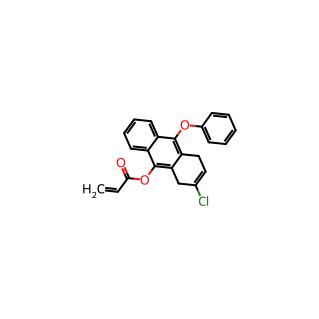 C=CC(=O)Oc1c2c(c(Oc3ccccc3)c3ccccc13)CC=C(Cl)C2